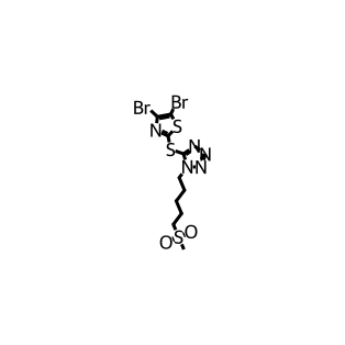 CS(=O)(=O)CCCCCn1nnnc1Sc1nc(Br)c(Br)s1